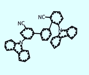 N#Cc1cc(-c2cccc(-c3c(C#N)cccc3-n3c4ccccc4c4ccccc43)c2)cc(-n2c3ccccc3c3ccccc32)c1